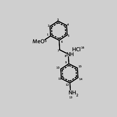 COc1ccccc1CNc1ccc(N)cc1.Cl